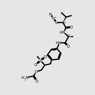 CC(C)[C@H](N=[N+]=[N-])C(=O)N[C@@H](C)C(=O)Nc1ccc(CC(COC(N)=O)S(C)(=O)=O)cc1